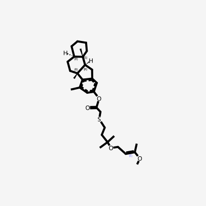 CO/C(C)=C/COC(C)(C)CCSCC(=O)Oc1cc(C)c2c(c1)C[C@@H]1[C@@]3(C)CCCC[C@@H]3CC[C@@]21C